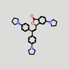 O=C1OC(C=C(c2ccc(N3CCCC3)cc2)c2ccc(N3CCCC3)cc2)c2cc(N3CCCC3)ccc21